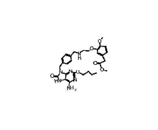 CCCCOc1nc(N)c2[nH]c(=O)n(Cc3ccc(CNCCOc4cc(CC(=O)OC)ccc4OC)cc3)c2n1